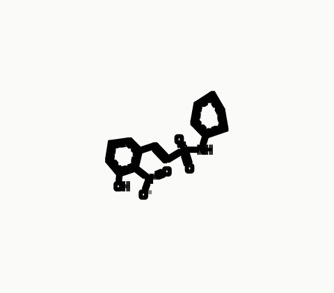 O=[N+]([O-])c1c(O)cccc1/C=C/S(=O)(=O)Nc1ccccc1